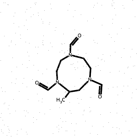 CC1CN(C=O)CCN(C=O)CCN1C=O